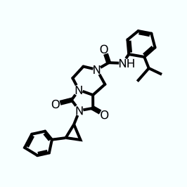 CC(C)c1ccccc1NC(=O)N1CCN2C(=O)N(C3CC3c3ccccc3)C(=O)C2C1